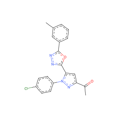 CC(=O)c1cc(-c2nnc(-c3cccc(C)c3)o2)n(-c2ccc(Cl)cc2)n1